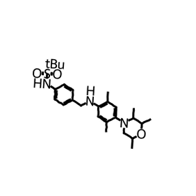 Cc1cc(N2CC(C)OC(C)C2C)c(C)cc1NCc1ccc(NS(=O)(=O)C(C)(C)C)cc1